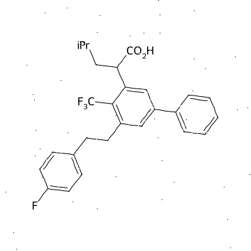 CC(C)CC(C(=O)O)c1cc(-c2ccccc2)cc(CCc2ccc(F)cc2)c1C(F)(F)F